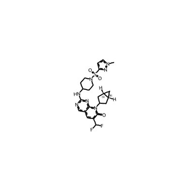 Cn1ccc(S(=O)(=O)N2CCC(Nc3ncc4cc(C(F)F)c(=O)n(C5C[C@@H]6C[C@@H]6C5)c4n3)CC2)n1